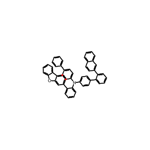 c1ccc(-c2ccc(N(c3ccc(-c4ccccc4-c4ccc5ccccc5c4)cc3)c3ccccc3-c3ccc4c(c3)oc3ccccc34)cc2)cc1